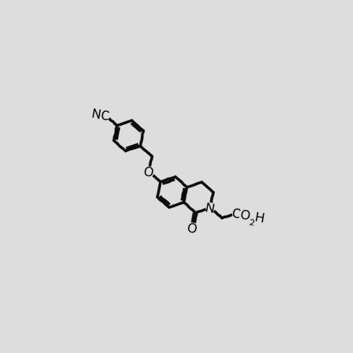 N#Cc1ccc(COc2ccc3c(c2)CCN(CC(=O)O)C3=O)cc1